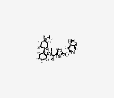 Nc1ccnc(Oc2nc(C(=O)NC3=C(N4CCC(N)CC4)CCC=C3)cs2)c1